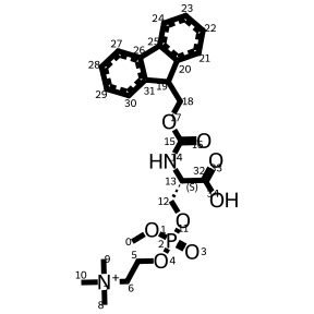 COP(=O)(OCC[N+](C)(C)C)OC[C@H](NC(=O)OCC1c2ccccc2-c2ccccc21)C(=O)O